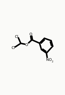 O=C(OC(Cl)Cl)c1cccc([N+](=O)[O-])c1